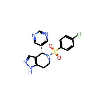 O=S(=O)(c1ccc(Cl)cc1)N1CCc2[nH]ncc2[C@@H]1c1cncnc1